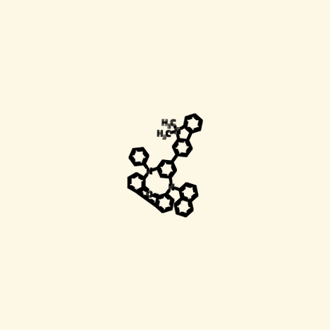 C[Si]1(C)c2ccccc2-c2ccc(-c3cc4cc(c3)N(c3cccc5ccccc35)c3cccc5c3oc3c(cccc35)N4c3ccccc3)cc21